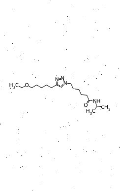 CCOCCCCCc1cn(CCCCCC(=O)NC(C)C)nn1